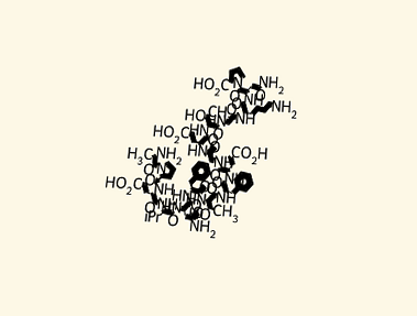 CC(C)[C@H](NC(=O)[C@H](CCC(=O)O)NC(=O)[C@@H]1CCCN1C(=O)[C@H](C)N)C(=O)N[C@@H](CC(N)=O)C(=O)N[C@@H](Cc1ccccc1)C(=O)N[C@H](C(=O)N[C@@H](Cc1ccccc1)C(=O)N[C@@H](CCC(=O)O)C(=O)NCC(=O)N[C@@H](CCC(=O)O)C(=O)N[C@H](C(=O)NCC(=O)N[C@@H](CCCCN)C(=O)N[C@@H](CC(N)=O)C(=O)N1CCC[C@H]1C(=O)O)[C@@H](C)O)[C@@H](C)O